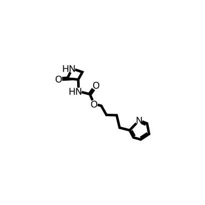 O=C(NC1CNC1=O)OCCCCc1ccccn1